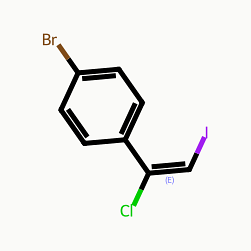 Cl/C(=C/I)c1ccc(Br)cc1